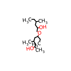 CCC(C)CC(O)COC(CC)CC(C)CC(C)O